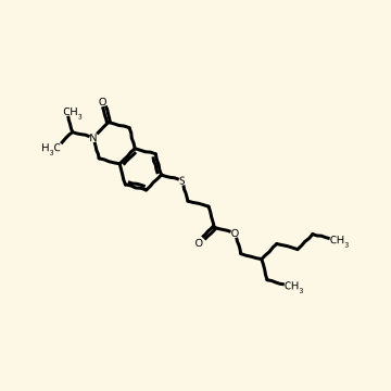 CCCCC(CC)COC(=O)CCSc1ccc2c(c1)CC(=O)N(C(C)C)C2